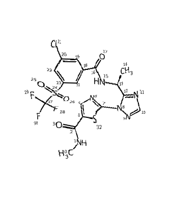 CNC(=O)c1cnc(-n2ncnc2[C@H](C)NC(=O)c2cc(Cl)cc(S(=O)(=O)C(F)(F)F)c2)s1